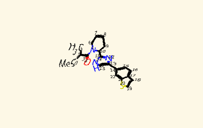 CSC(C)C(=O)N1CCCCC1c1nc(-c2ccc3ccsc3c2)c[nH]1